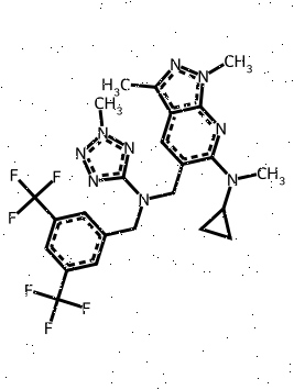 Cc1nn(C)c2nc(N(C)C3CC3)c(CN(Cc3cc(C(F)(F)F)cc(C(F)(F)F)c3)c3nnn(C)n3)cc12